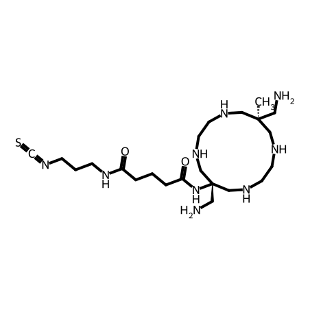 C[C@]1(CN)CNCCNC[C@](CN)(NC(=O)CCCC(=O)NCCCN=C=S)CNCCNC1